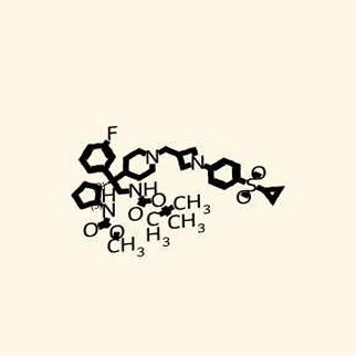 COC(=O)N[C@H]1CCC[C@@H]1C(CNC(=O)OC(C)(C)C)(c1cccc(F)c1)C1CCN(CC2CN(c3ccc(S(=O)(=O)C4CC4)cc3)C2)CC1